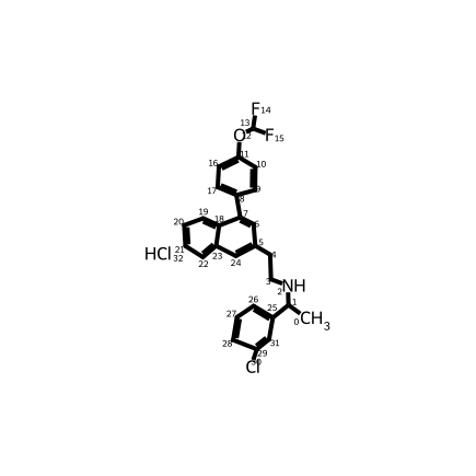 CC(NCCc1cc(-c2ccc(OC(F)F)cc2)c2ccccc2c1)c1cccc(Cl)c1.Cl